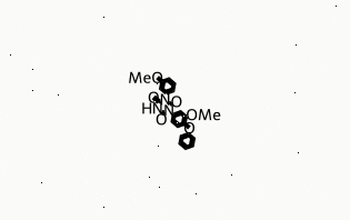 COc1cccc(-n2c(=O)[nH]c(=O)n(-c3ccc(Oc4ccccc4)c(OC)c3)c2=O)c1